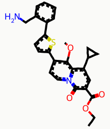 CCOC(=O)c1cc(C2CC2)c2c(OC)c(-c3ccc(-c4ccccc4CN)s3)ccn2c1=O